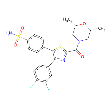 C[C@@H]1CN(C(=O)c2nc(-c3ccc(F)c(F)c3)c(-c3ccc(S(N)(=O)=O)cc3)s2)C[C@H](C)O1